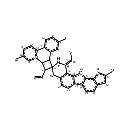 C=CC1C2C(c3cc(C)ccc3-c3ccc(C)c[n+]32)C12Cc1ccc3c(oc4c3ccc3cc(C)sc34)c1/C(=C/C)N2